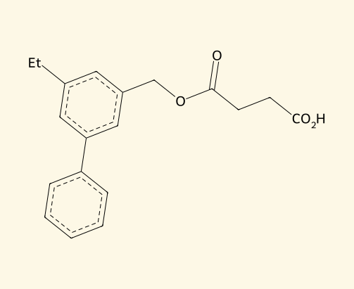 CCc1cc(COC(=O)CCC(=O)O)cc(-c2ccccc2)c1